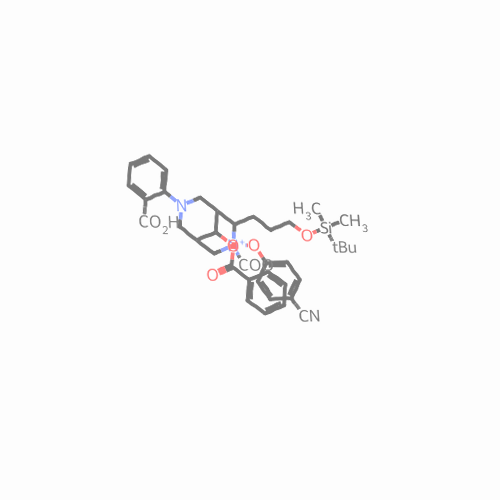 CC(C)(C)[Si](C)(C)OCCCC1C2CN(c3ccccc3C(=O)O)CC(C[N+]1(Oc1ccc(C#N)cc1)C(=O)[O-])C2OC(=O)c1ccccc1